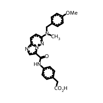 COc1ccc(CN(C)c2ccc3ncc(C(=O)Nc4ccc(CC(=O)O)cc4)n3n2)cc1